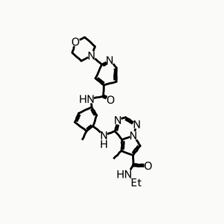 CCNC(=O)c1cn2ncnc(Nc3cc(NC(=O)c4ccnc(N5CCOCC5)c4)ccc3C)c2c1C